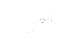 CC(C)OC(=O)N1CCC(Oc2ccc(B3OC(C)(C)C(C)(C)O3)cc2)CC1